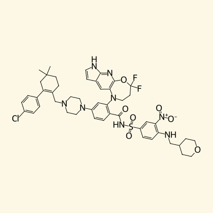 CC1(C)CCC(CN2CCN(c3ccc(C(=O)NS(=O)(=O)c4ccc(NCC5CCOCC5)c([N+](=O)[O-])c4)c(N4CCC(F)(F)Oc5nc6[nH]ccc6cc54)c3)CC2)=C(c2ccc(Cl)cc2)C1